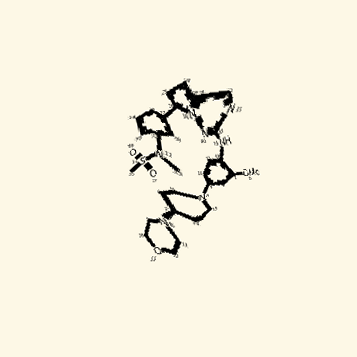 COc1cc(N2CCC(N3CCOCC3)CC2)ccc1Nc1ncc2ccc(-c3cccc(N(C)S(C)(=O)=O)c3)n2n1